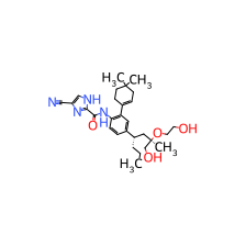 CCC[C@@H](C[C@](C)(CO)OCCO)c1ccc(NC(=O)c2nc(C#N)c[nH]2)c(C2=CCC(C)(C)CC2)c1